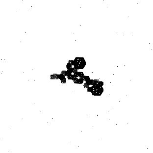 CCCC(=O)OC(CN1CCN(CC(=O)Nc2c(C)cccc2C)CC1)C1COc2ccccc2O1